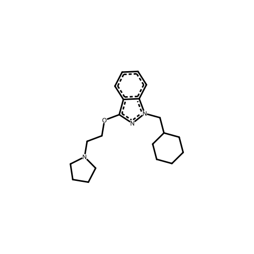 c1ccc2c(c1)c(OCCN1CCCC1)nn2CC1CCCCC1